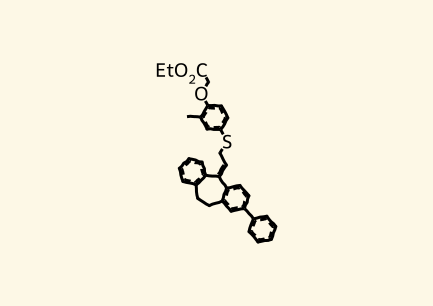 CCOC(=O)COc1ccc(SC/C=C2\c3ccccc3CCc3cc(-c4ccccc4)ccc32)cc1C